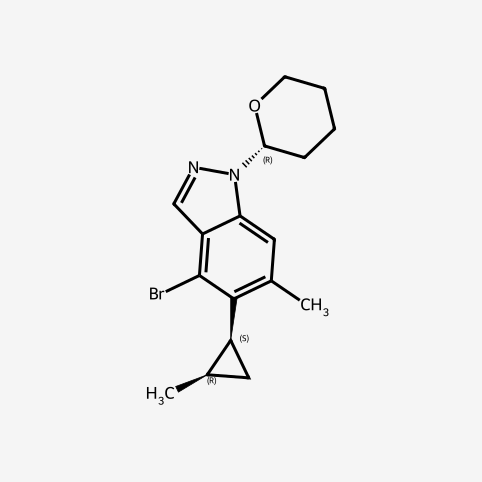 Cc1cc2c(cnn2[C@H]2CCCCO2)c(Br)c1[C@H]1C[C@H]1C